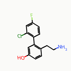 NCCc1ccc(O)cc1-c1ccc(F)cc1Cl